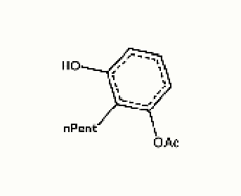 CCCCCc1c(O)cccc1OC(C)=O